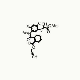 C#CCOC(=O)C1=C(C(=O)N(C(C)=O)c2cc(SC(C)C(=O)OC)c(Cl)cc2F)CCCC1